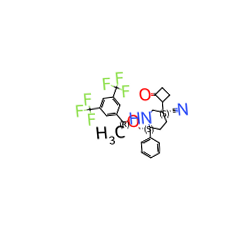 C[C@@H](OC[C@@]1(c2ccccc2)CC[C@](C#N)(C2CCC2=O)CN1)c1cc(C(F)(F)F)cc(C(F)(F)F)c1